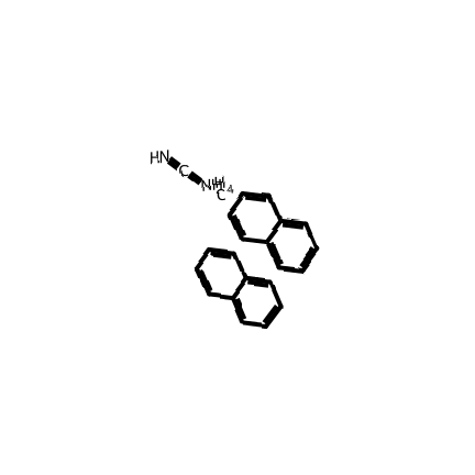 C.N=C=N.c1ccc2ccccc2c1.c1ccc2ccccc2c1